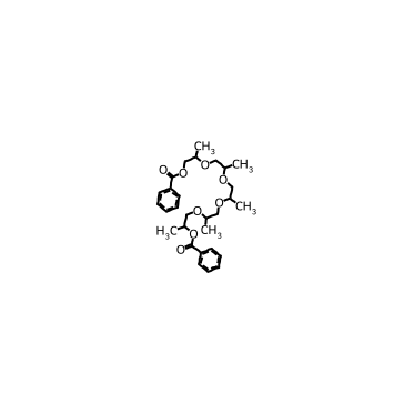 CC(COC(=O)c1ccccc1)OCC(C)OCC(C)OCC(C)OCC(C)OC(=O)c1ccccc1